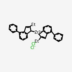 CCC1=Cc2c(-c3ccccc3)cccc2[CH]1[Zr+2][CH]1C(CC)=Cc2c(-c3ccccc3)cccc21.[Cl-].[Cl-]